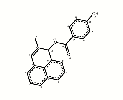 CC1=Cc2cccc3cccc(c23)C1OC(=O)c1ccc(O)cc1